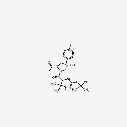 CC(C)(C)OC(=O)NC(C(=O)N1C[C@](O)(c2ccc(F)cc2)C[C@H]1C(=O)I)C(C)(C)C